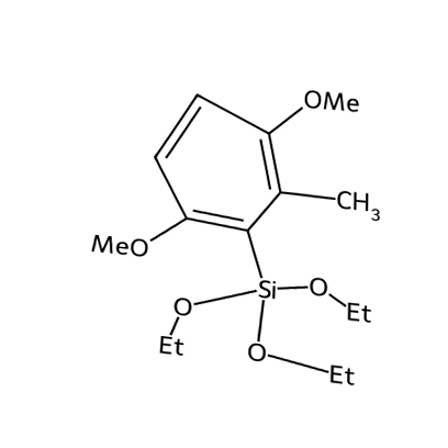 CCO[Si](OCC)(OCC)c1c(OC)ccc(OC)c1C